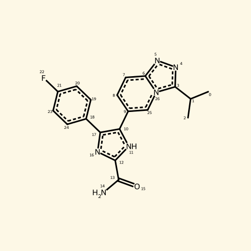 CC(C)c1nnc2ccc(-c3[nH]c(C(N)=O)nc3-c3ccc(F)cc3)cn12